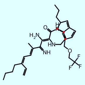 C=C/C(=C\C=C(/C)C(=N)/C(N)=C1\NCC[C@H](C2=C\C(CCC)C/C=C(COCC(F)(F)F)/C=C\2)NC1=O)CCCC